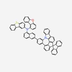 c1ccc2c(c1)-c1ccccc1C21c2cccc3c2-c2c1ccc1c4ccccc4n(c21)-c1cc(-c2ccc4c(N(c5ccc6sc7ccccc7c6c5)c5cccc6oc7ccccc7c56)cccc4c2)ccc1-3